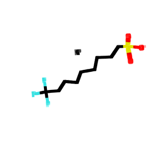 O=S(=O)([O-])CCCCCCCCC(F)(F)F.[K+]